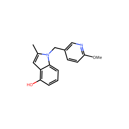 COc1ccc(Cn2c(C)cc3c(O)cccc32)cn1